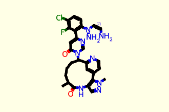 CC1CCCC(n2cnc(-c3c(N(N)/C=C\N)ccc(Cl)c3F)cc2=O)c2cc(ccn2)-c2c(cnn2C)NC1=O